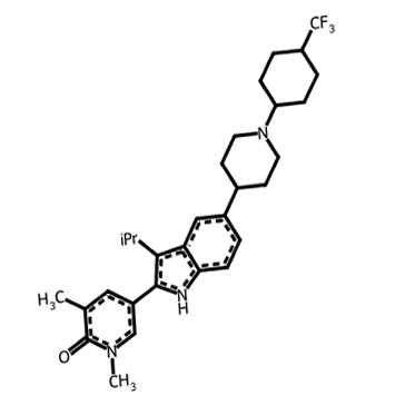 Cc1cc(-c2[nH]c3ccc(C4CCN(C5CCC(C(F)(F)F)CC5)CC4)cc3c2C(C)C)cn(C)c1=O